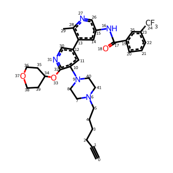 C#CCCCCN1CCN(c2cc(-c3cc(NC(=O)c4cccc(C(F)(F)F)c4)cnc3C)cnc2OC2CCOCC2)CC1